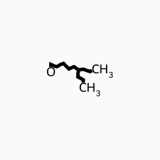 CCCC(CCC)CCCC1CO1